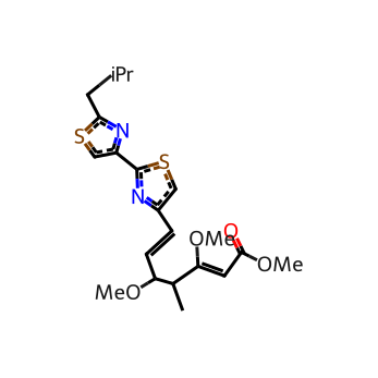 COC(=O)/C=C(\OC)C(C)C(/C=C/c1csc(-c2csc(CC(C)C)n2)n1)OC